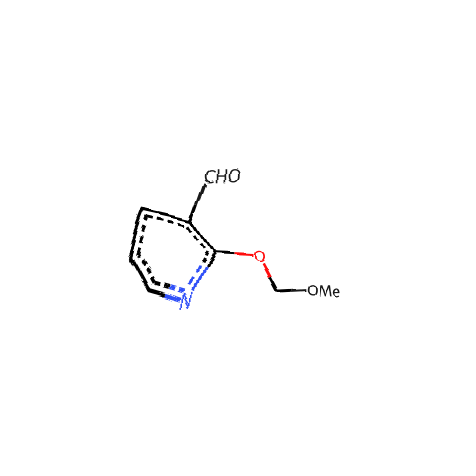 COCOc1ncccc1C=O